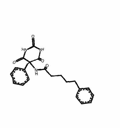 O=C(CCCCc1ccccc1)NC1(c2ccccc2)C(=O)NC(=O)NC1=O